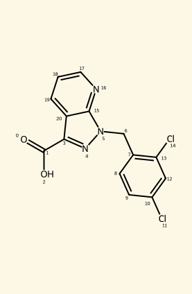 O=C(O)c1nn(Cc2ccc(Cl)cc2Cl)c2ncccc12